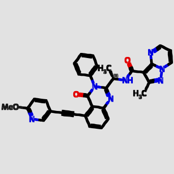 COc1ccc(C#Cc2cccc3nc([C@@H](C)NC(=O)c4c(C)nn5cccnc45)n(-c4ccccc4)c(=O)c23)cn1